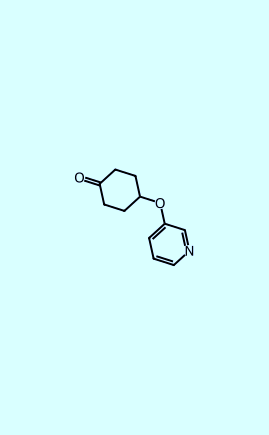 O=C1CCC(Oc2cccnc2)CC1